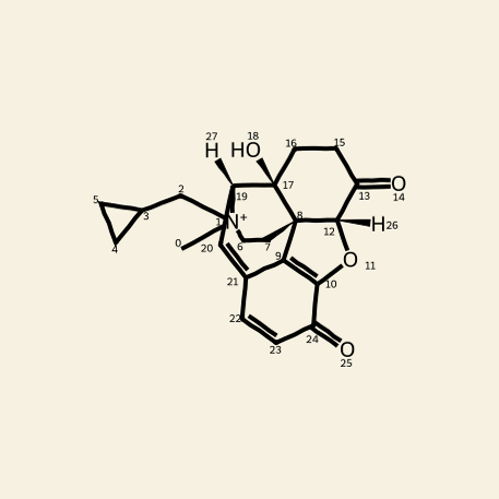 C[N+]1(CC2CC2)CC[C@]23C4=C5O[C@H]2C(=O)CC[C@@]3(O)[C@H]1C=C4C=CC5=O